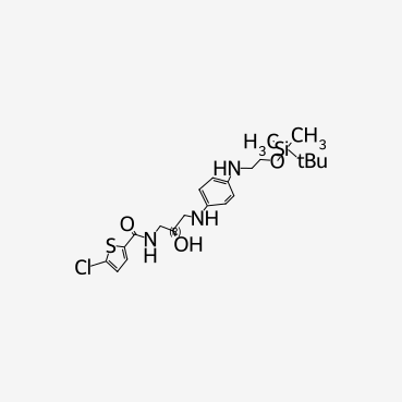 CC(C)(C)[Si](C)(C)OCCNc1ccc(NC[C@@H](O)CNC(=O)c2ccc(Cl)s2)cc1